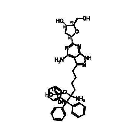 Nc1nc([C@@H]2C[C@H](O)[C@@H](CO)O2)nc2[nH]nc(CCCCC(N)(OP(=O)(O)O)C(c3ccccc3)(c3ccccc3)c3ccccc3)c12